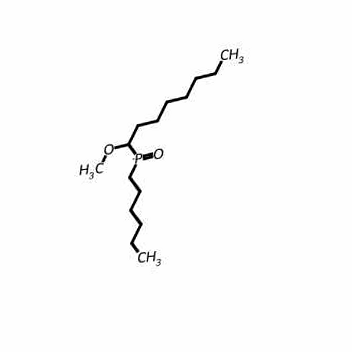 CCCCCCCC(OC)[P](=O)CCCCCC